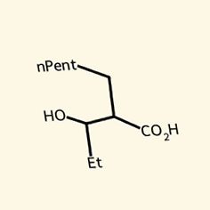 CCCCCCC(C(=O)O)C(O)CC